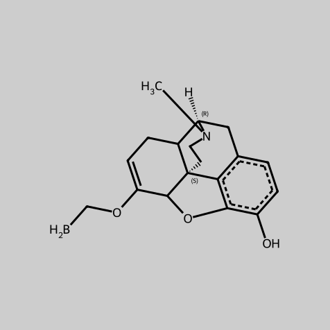 BCOC1=CCC2[C@H]3Cc4ccc(O)c5c4[C@@]2(CCN3C)C1O5